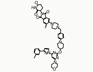 Cc1cccc(-c2ccn(-c3cc(N4CCOCC4)nc(OC4CCN(c5ccc(CN6CCN(c7cc8c(cc7F)C(=O)N(C7CCC(=O)NC7=O)C8=O)CC6)cc5)CC4)n3)n2)c1